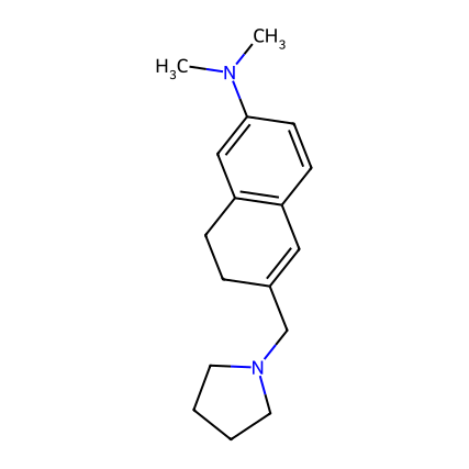 CN(C)c1ccc2c(c1)CCC(CN1CCCC1)=C2